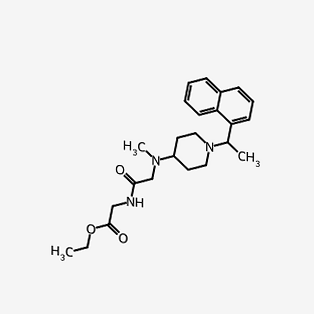 CCOC(=O)CNC(=O)CN(C)C1CCN(C(C)c2cccc3ccccc23)CC1